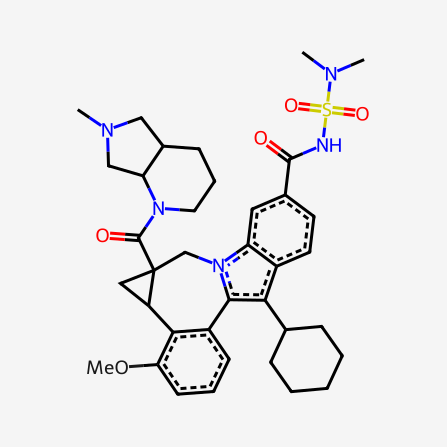 COc1cccc2c1C1CC1(C(=O)N1CCCC3CN(C)CC31)Cn1c-2c(C2CCCCC2)c2ccc(C(=O)NS(=O)(=O)N(C)C)cc21